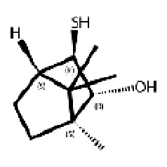 CC1(C)[C@@H]2CC[C@]1(C)[C@@H](O)[C@@H]2S